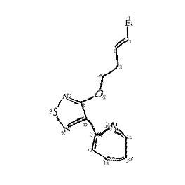 CC/C=C/CCOc1nsnc1-c1ccccn1